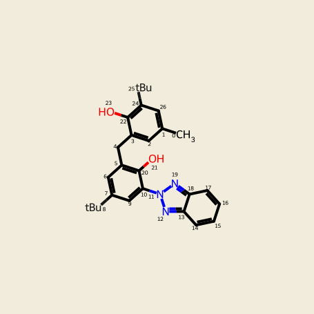 Cc1cc(Cc2cc(C(C)(C)C)cc(-n3nc4ccccc4n3)c2O)c(O)c(C(C)(C)C)c1